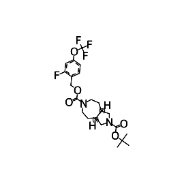 CC(C)(C)OC(=O)N1C[C@H]2CCN(C(=O)OCc3ccc(OC(F)(F)F)cc3F)CC[C@H]2C1